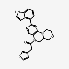 O=C(Cc1ccsc1)N1CC2COCCN2c2nc(-c3cccc4[nH]ccc34)ncc21